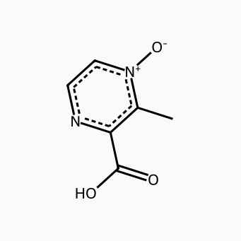 Cc1c(C(=O)O)ncc[n+]1[O-]